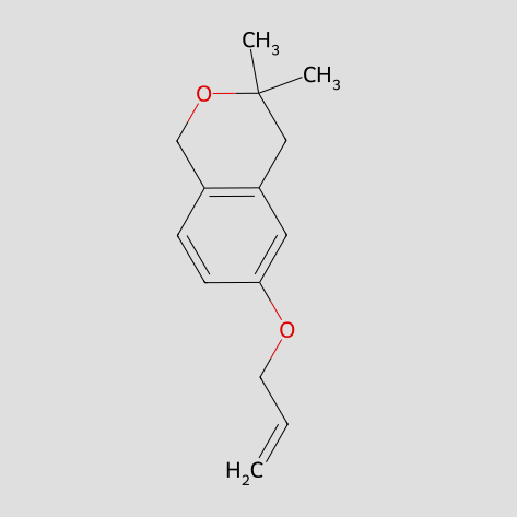 C=CCOc1ccc2c(c1)CC(C)(C)OC2